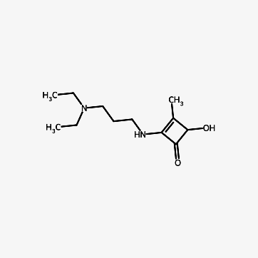 CCN(CC)CCCNC1=C(C)C(O)C1=O